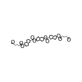 O=C(CCCC1CO1)Oc1ccc2cc(C(=O)Oc3ccc4cc(OC(=O)c5ccc6cc(OC(=O)CCCC7CO7)ccc6c5)ccc4c3)ccc2c1